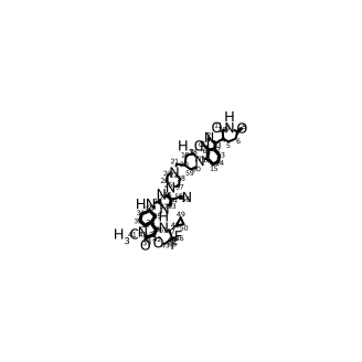 Cn1nc(C2CCC(=O)NC2=O)c2cccc(N3CCC(CN4CCN(c5nc(Nc6ccc7c(c6)c6c(c(=O)n7C)OCC(F)(F)[C@H](C7CC7)N6)ncc5C#N)CC4)CC3)c21